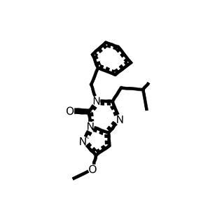 COc1cc2nc(CC(C)C)n(Cc3ccccc3)c(=O)n2n1